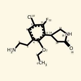 CCOc1c(CCN)cc(Cl)c(F)c1C1CNC(=O)C1